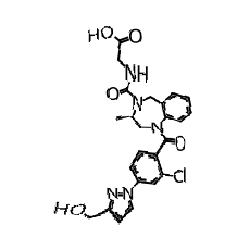 C[C@@H]1CN(C(=O)c2ccc(-n3ccc(CO)n3)cc2Cl)c2ccccc2CN1C(=O)NCC(=O)O